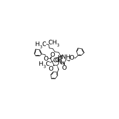 CC(C)CCCCC(=O)N[C@@H](COCc1ccccc1)C(=O)N[C@@H](Cc1ccccc1)C(=O)C(C)(C)C(=O)OCc1ccccc1